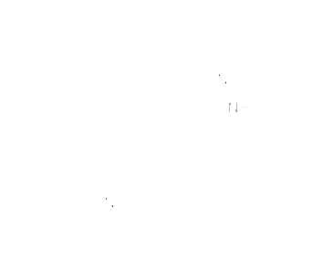 N=C(/C(=C1\NC(c2ccccc2)=Cc2ccc(-c3cccc(-c4ccc(-c5cc(-c6ccccc6)nc(-c6ccccc6)c5)cc4)c3)cc21)c1ccccc1)c1ccccc1